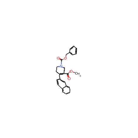 COC(=O)C1=C(c2ccc3ccccc3c2)CCN(C(=O)OCc2ccccc2)C1